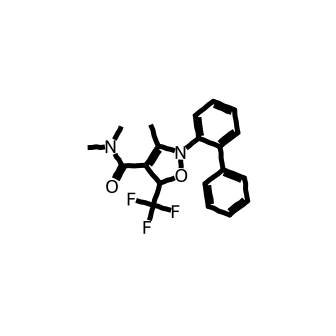 CC1=C(C(=O)N(C)C)C(C(F)(F)F)ON1c1ccccc1-c1ccccc1